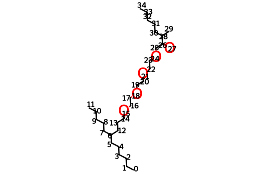 CCCCCCC(CCCCC)CCCOCCOCCOCCOCC(=O)C(C)CCCCC